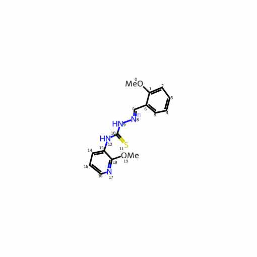 COc1ccccc1/C=N/NC(=S)Nc1cccnc1OC